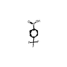 O=S(O)c1ccc(C(F)(F)F)cc1